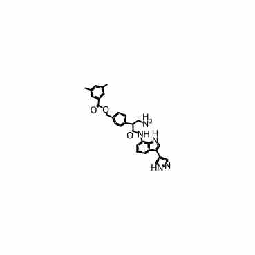 Cc1cc(C)cc(C(=O)OCc2ccc(C(CN)C(=O)Nc3cccc4c(-c5cn[nH]c5)c[nH]c34)cc2)c1